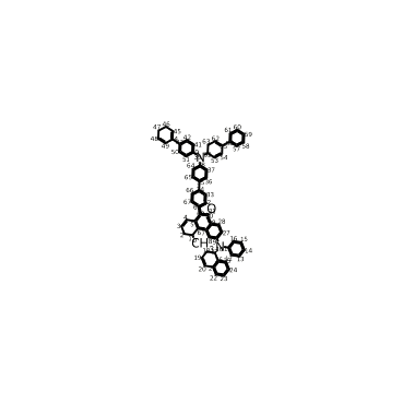 CC1CC=Cc2c1c1cc(N(c3ccccc3)[C@@H]3CC=Cc4ccccc43)ccc1c1oc3cc(-c4ccc(N(c5ccc(C6=CCCC=C6)cc5)C5C=CC(c6ccccc6)=CC5)cc4)ccc3c21